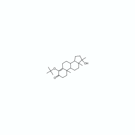 CC(C)(C)OC1=C2CCC3C(CCC4(C)C3CCC4(C)O)C2(C)CCC1=O